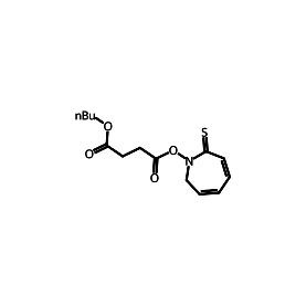 CCCCOC(=O)CCC(=O)ON1CC=CC=CC1=S